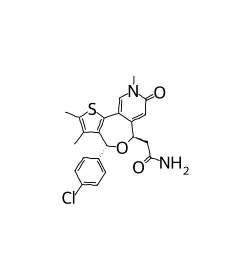 Cc1sc2c(c1C)[C@@H](c1ccc(Cl)cc1)O[C@H](CC(N)=O)c1cc(=O)n(C)cc1-2